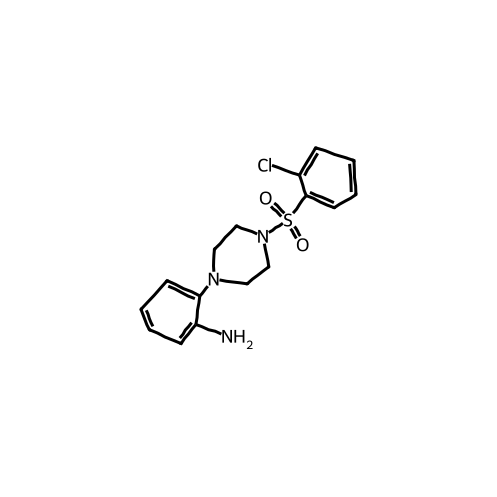 Nc1ccccc1N1CCN(S(=O)(=O)c2ccccc2Cl)CC1